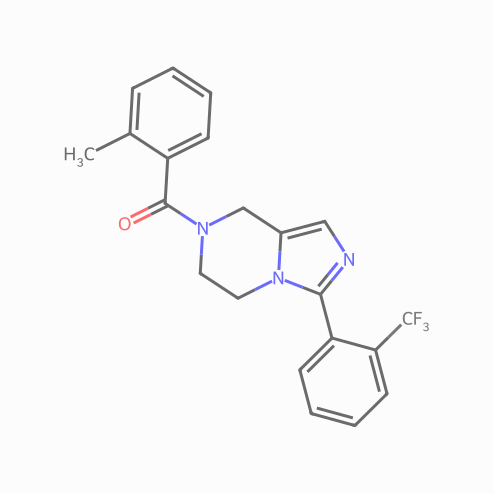 Cc1ccccc1C(=O)N1CCn2c(cnc2-c2ccccc2C(F)(F)F)C1